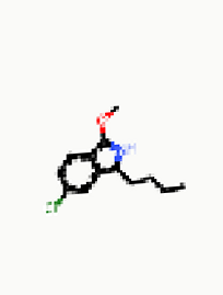 CCCCc1[nH]c(OC)c2ccc(Cl)cc12